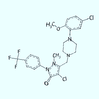 COc1ccc(Cl)cc1N1CCN(Cc2c(Cl)c(=O)n(-c3ccc(C(F)(F)F)cc3)n2C)CC1